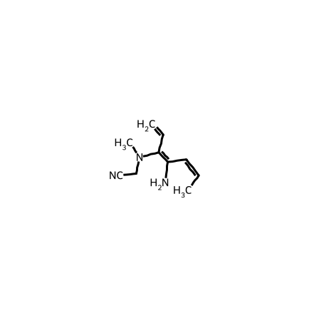 C=C/C(=C(N)\C=C/C)N(C)CC#N